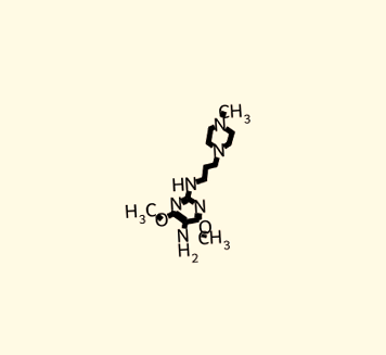 COc1nc(NCCCN2CCN(C)CC2)nc(OC)c1N